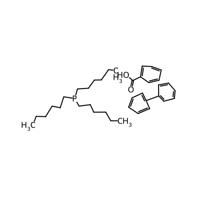 CCCCCCP(CCCCCC)CCCCCC.O=C(O)c1ccccc1.c1ccc(-c2ccccc2)cc1